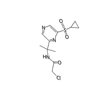 CC(C)(NC(=O)CCl)c1cncc(S(=O)(=O)C2CC2)n1